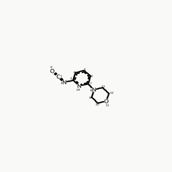 O=C=Nc1cccc(N2CCOCC2)n1